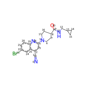 N#Cc1cc(N2CCC(C(=O)NCC3CC3)CC2)nc2ccc(Br)cc12